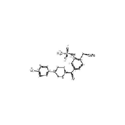 CSCc1ccc(C(=O)N2CCC(c3ccc(C#N)cc3)CC2)cc1NS(C)(=O)=O